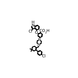 CC1(C)CCC(CN2CCN(c3ccc(C(=O)O)c(Oc4cccc5[nH]cc(Cl)c45)c3)CC2)=C(c2ccc(Cl)cc2)C1